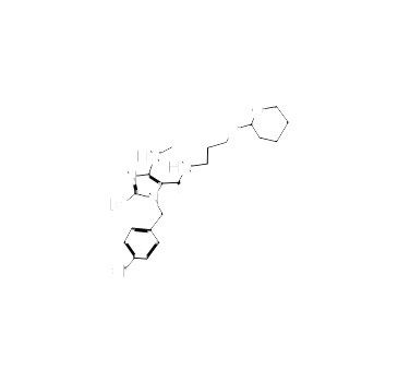 CNc1nc(Br)n(Cc2ccc(Cl)cc2)c1C(=O)NCCCOC1CCCCO1